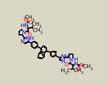 COC(=O)N[C@H](C(=O)N1CCCC1c1ncc(-c2ccc(-c3ccc(-c4ccc(-c5cnc(C6CCCN6C(=O)[C@@H](NC(=O)OC)C(C)C)[nH]5)cc4)c4c3C3C=CC4C3)cc2)[nH]1)C(C)C